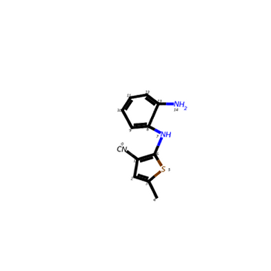 [C-]#[N+]c1cc(C)sc1Nc1ccccc1N